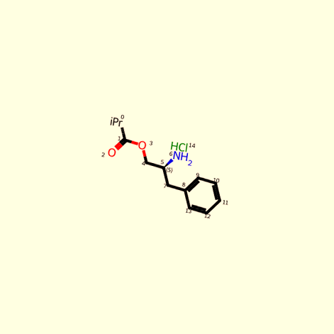 CC(C)C(=O)OC[C@@H](N)Cc1ccccc1.Cl